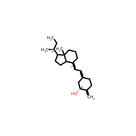 C=C1CC/C(=C/C=C2\CCCC3(C)C2CCC3[C@@H](C)CC)C[C@H]1O